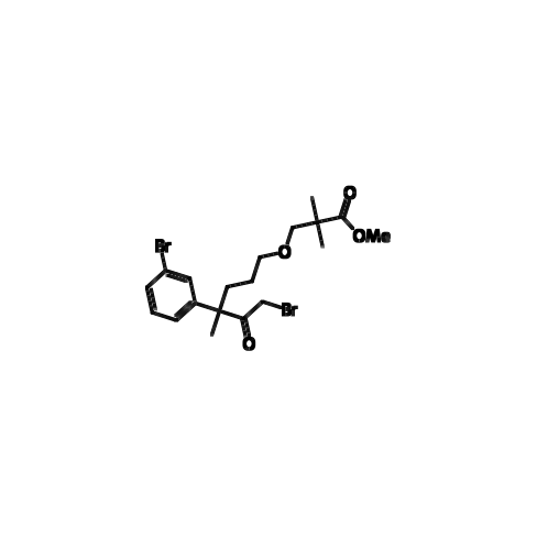 COC(=O)C(C)(C)COCCCC(C)(C(=O)CBr)c1cccc(Br)c1